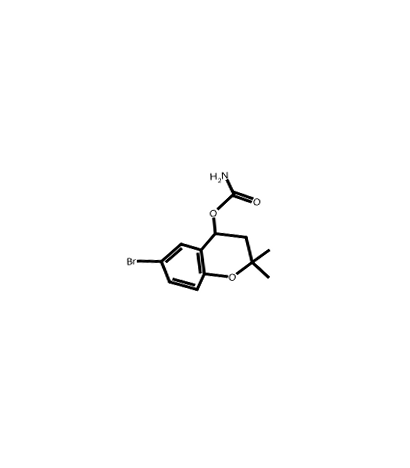 CC1(C)CC(OC(N)=O)c2cc(Br)ccc2O1